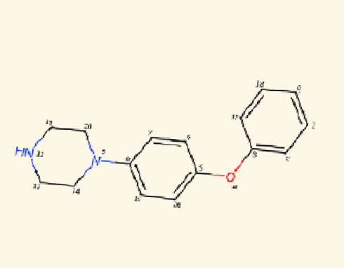 [c]1ccc(Oc2ccc(N3CCNCC3)cc2)cc1